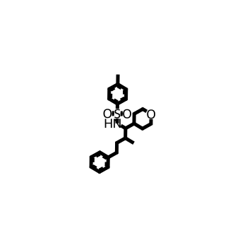 Cc1ccc(S(=O)(=O)NC(C(C)CCc2ccccc2)C2CCOCC2)cc1